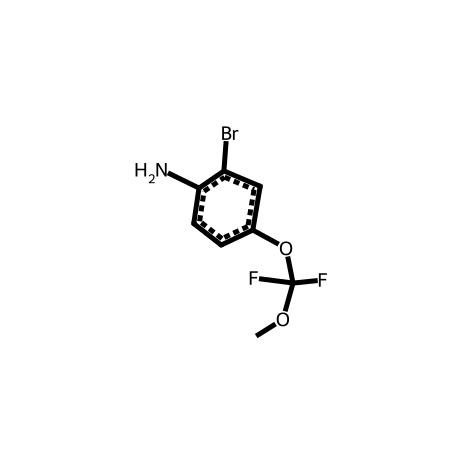 COC(F)(F)Oc1ccc(N)c(Br)c1